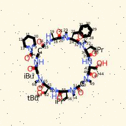 CC[C@H](C)[C@H]1C(=O)N[C@H](C(=O)N2CCCCC2)CC(=O)N[C@@H](C)C(=O)N(C)[C@@H](Cc2ccccc2)C(=O)N(C)[C@@H](CC(C)C)C(=O)N[C@@H]([C@@H](C)O)C(=O)N(C)CC(=O)N(C)[C@@H](CC(C)C)C(=O)N[C@@H](COC(C)(C)C)C(=O)N1C